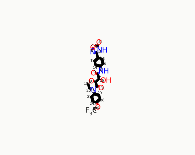 O=C(Nc1ccc(-c2noc(=O)[nH]2)cc1)[C@H](O)[C@H]1OCCN(c2ccc(OC(F)(F)F)cc2)C1=O